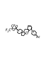 CC(=O)N1CCN(c2cccc(CN3CCCC34CCN(C(=O)OC(C(F)(F)F)C(F)(F)F)CC4)c2Cl)CC1